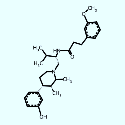 COc1cccc(CCC(=O)N[C@H](CN2CC[C@@H](c3cccc(O)c3)[C@@H](C)C2C)C(C)C)c1